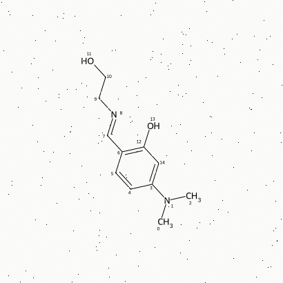 CN(C)c1ccc(C=NCCO)c(O)c1